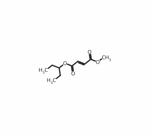 CCC(CC)OC(=O)/C=C/C(=O)OC